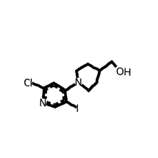 OCC1CCN(c2cc(Cl)ncc2I)CC1